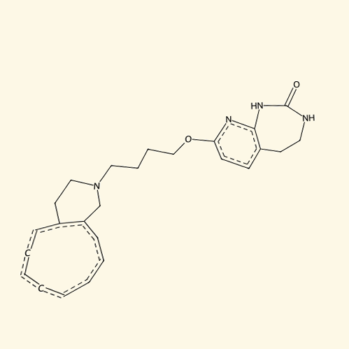 O=C1NCCc2ccc(OCCCCN3CCc4ccccccccc4C3)nc2N1